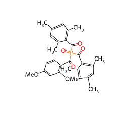 COc1ccc(C(=O)P(=O)(C(=O)c2c(C)cc(C)cc2C)C(=O)c2c(C)cc(C)cc2C)c(OC)c1